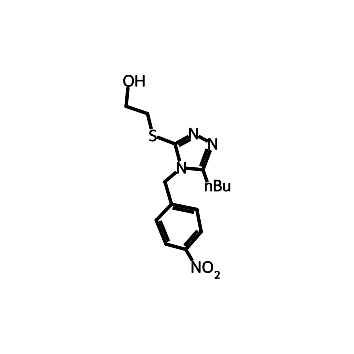 CCCCc1nnc(SCCO)n1Cc1ccc([N+](=O)[O-])cc1